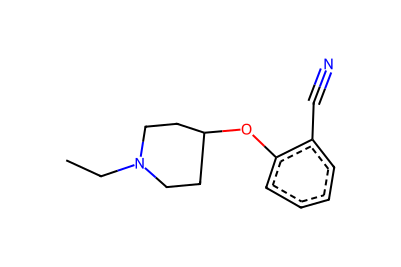 CCN1CCC(Oc2ccccc2C#N)CC1